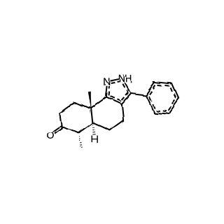 C[C@@H]1C(=O)CC[C@]2(C)c3n[nH]c(-c4ccccc4)c3CC[C@@H]12